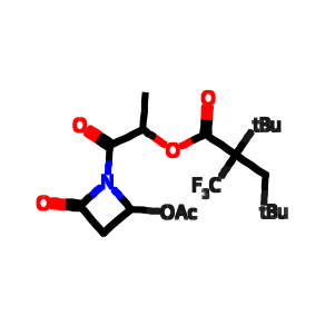 CC(=O)OC1CC(=O)N1C(=O)C(C)OC(=O)C(CC(C)(C)C)(C(C)(C)C)C(F)(F)F